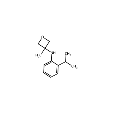 CC(C)c1ccccc1NC1(C)COC1